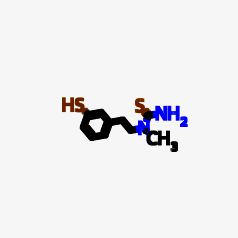 CN(CCc1cccc(S)c1)C(N)=S